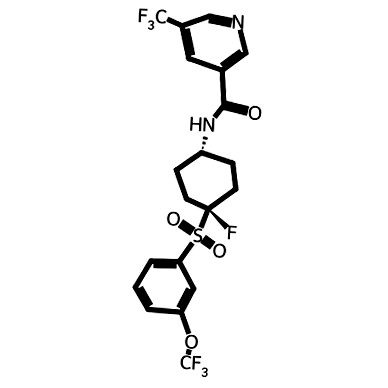 O=C(N[C@H]1CC[C@@](F)(S(=O)(=O)c2cccc(OC(F)(F)F)c2)CC1)c1cncc(C(F)(F)F)c1